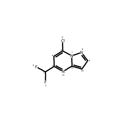 FC(F)c1cc(Cl)n2nccc2n1